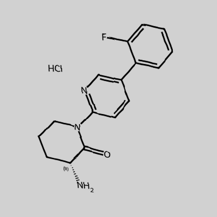 Cl.N[C@@H]1CCCN(c2ccc(-c3ccccc3F)cn2)C1=O